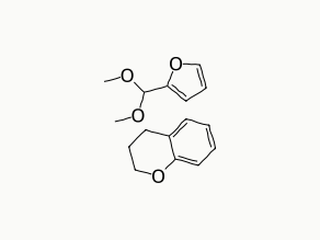 COC(OC)c1ccco1.c1ccc2c(c1)CCCO2